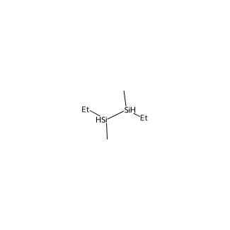 CC[SiH](C)[SiH](C)CC